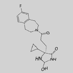 O=C(CC[C@@]1(C2CC2)NC(O)NC1=O)N1CCc2ccc(F)cc2CC1